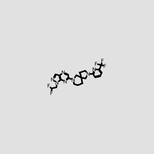 FC(F)Cn1ncc2ncc(N3CCCC4(CCN(c5cccc(C(F)(F)F)n5)C4)C3)nc21